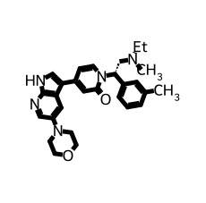 CCN(C)C[C@H](c1cccc(C)c1)n1ccc(-c2c[nH]c3ncc(N4CCOCC4)cc23)cc1=O